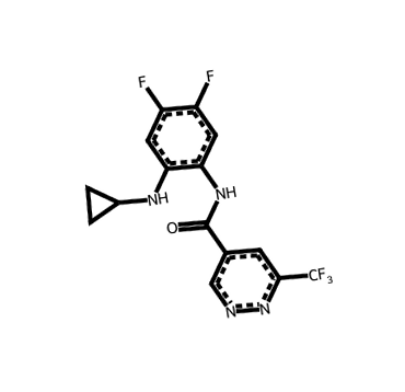 O=C(Nc1cc(F)c(F)cc1NC1CC1)c1cnnc(C(F)(F)F)c1